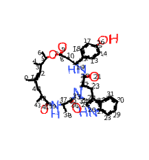 C/C1=C\C(C)C(C)OC(=O)CC(c2ccc(O)cc2)NC(=O)C(Cc2c[nH]c3ccccc23)N(C)C(=O)C(C)NC(=O)C(C)C1